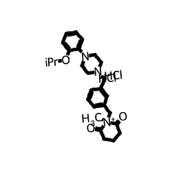 CC(C)Oc1ccccc1N1CCN(Cc2cccc(C[N+]3(C)C(=O)CCCC3=O)c2)CC1.Cl.Cl